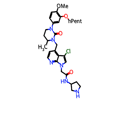 CCCCCOc1cc(N2CCC(C)N(Cc3ccnc4c3c(Cl)cn4CC(=O)NC3CCNC3)C2=O)ccc1OC